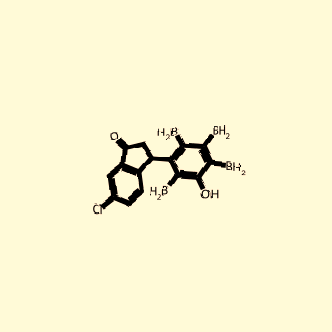 Bc1c(B)c(O)c(B)c(C2CC(=O)c3cc(Cl)ccc32)c1B